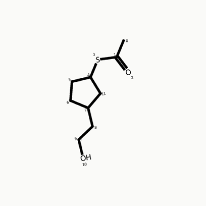 CC(=O)SC1CCC(C[C]O)C1